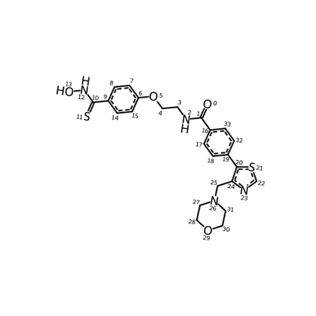 O=C(NCCOc1ccc(C(=S)NO)cc1)c1ccc(-c2scnc2CN2CCOCC2)cc1